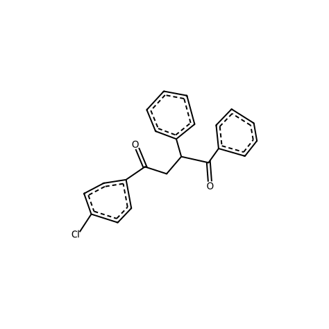 O=C(CC(C(=O)c1ccccc1)c1ccccc1)c1ccc(Cl)cc1